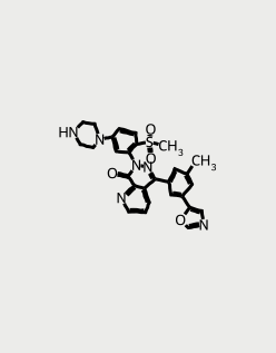 Cc1cc(-c2cnco2)cc(-c2nn(-c3cc(N4CCNCC4)ccc3S(C)(=O)=O)c(=O)c3ncccc23)c1